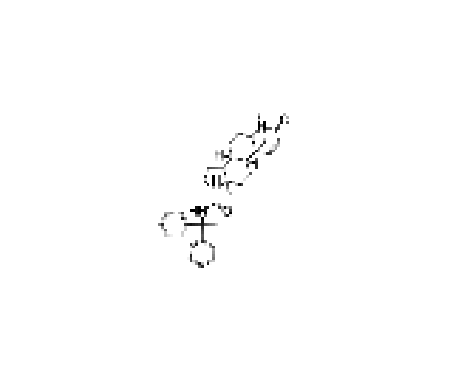 CN1C(=O)C=C[C@@]2(C)C1CC[C@@H]1[C@H]2CC[C@]2(C)C(C(=O)NC(C)(c3ccccc3)c3ccccc3)CC[C@@H]12